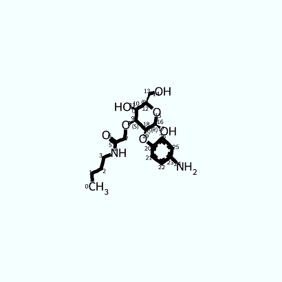 CCCCNC(=O)CO[C@H]1[C@@H](O)[C@@H](CO)O[C@@H](O)[C@@H]1Oc1ccc(N)cc1